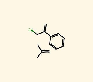 C=C(C)C.C=C(CCl)c1ccccc1